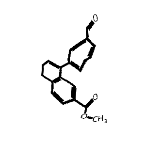 COC(=O)c1ccc2c(c1)C(c1cccc(C=O)c1)=CCC2